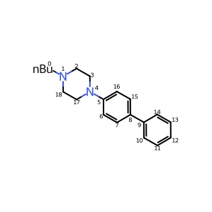 CCCCN1CCN(c2ccc(-c3ccccc3)cc2)CC1